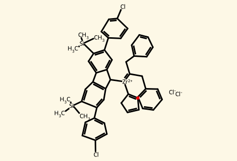 C[Si](C)(C)c1cc2c(cc1-c1ccc(Cl)cc1)[CH]([Zr+2]([C]1=CC=CC1)=[C](Cc1ccccc1)Cc1ccccc1)c1cc(-c3ccc(Cl)cc3)c([Si](C)(C)C)cc1-2.[Cl-].[Cl-]